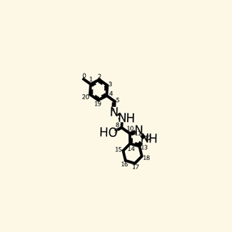 Cc1ccc(/C=N/NC(O)c2n[nH]c3c2CCCC3)cc1